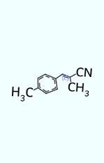 C/C(C#N)=C\c1ccc(C)cc1